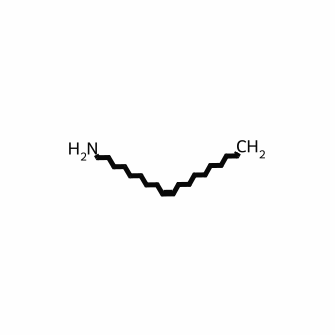 C=CCCCCCCC/C=C\CCCCCCCCN